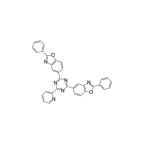 c1ccc(-c2nc3cc(-c4nc(-c5ccc6oc(-c7ccccc7)nc6c5)nc(-c5ccccn5)n4)ccc3o2)cc1